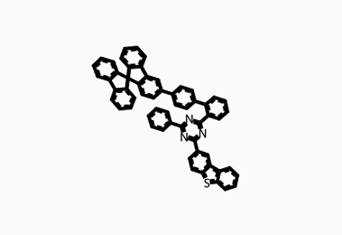 c1ccc(-c2nc(-c3ccc4sc5ccccc5c4c3)nc(-c3ccccc3-c3ccc(-c4ccc5c(c4)-c4ccccc4C54c5ccccc5-c5ccccc54)cc3)n2)cc1